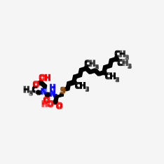 CCN(CC(=O)O)C(=O)N[C@@H](CSC/C=C(\C)CCCC(C)CCCC(C)CCCC(C)C)C(=O)O